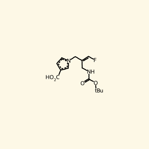 CC(C)(C)OC(=O)NC/C(=C\F)Cn1ccc(C(=O)O)c1